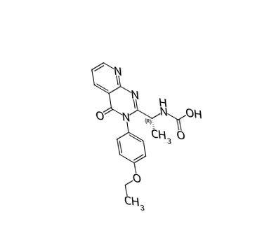 CCOc1ccc(-n2c([C@@H](C)NC(=O)O)nc3ncccc3c2=O)cc1